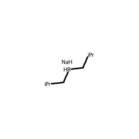 CC(C)CBCC(C)C.[NaH]